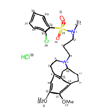 CCN(CCCN1CCc2cc(OC)c(OC)c3c2C1CC3)S(=O)(=O)c1ccccc1Cl.Cl